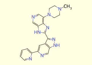 CN1CCN(c2cncc3[nH]c(-c4n[nH]c5cnc(-c6ccccn6)cc45)nc23)CC1